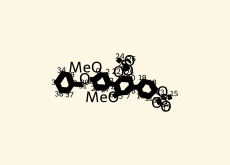 COc1cc(-c2c(OC)cc(-c3ccc(OS(C)(=O)=O)cc3)cc2OS(C)(=O)=O)ccc1OCc1ccccc1